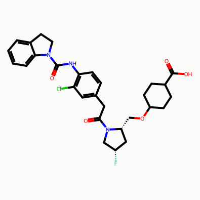 O=C(O)C1CCC(OC[C@@H]2C[C@H](F)CN2C(=O)Cc2ccc(NC(=O)N3CCc4ccccc43)c(Cl)c2)CC1